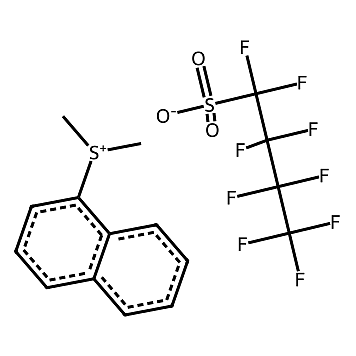 C[S+](C)c1cccc2ccccc12.O=S(=O)([O-])C(F)(F)C(F)(F)C(F)(F)C(F)(F)F